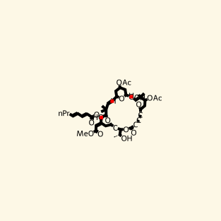 CCC/C=C/C=C/C(=O)O[C@H]1/C(=C/C(=O)OC)CC2CC([C@@H](C)O)OC(=O)CCCC3CC(OC(C)=O)C(C)(C)[C@](O)(C[C@@H]4CC(OC(C)=O)C[C@H](/C=C/C(C)(C)C1(O)O2)O4)O3